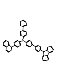 c1ccc(-c2ccc(N(c3ccc(-c4ccc(C5c6ccccc6-c6ccccc65)cc4)cc3)c3ccc(-c4cccc5ccccc45)cc3)cc2)cc1